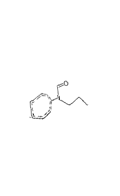 CCCN(C=O)c1cc[c]cc1